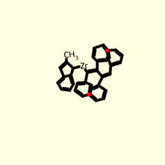 CC1=Cc2ccccc2[CH]1[Zr]/[C](=C(/C(=C\c1ccccc1)c1ccccc1)c1ccccc1)c1ccccc1